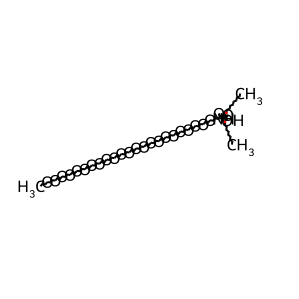 CCCCCCCCCCCC(CCCCCCCCCCC)(C(=O)O)C(=O)NCCOCCOCCOCCOCCOCCOCCOCCOCCOCCOCCOCCOCCOCCOCCOCCOCCOCCOCCOCCOCCOCCOCCOCCC